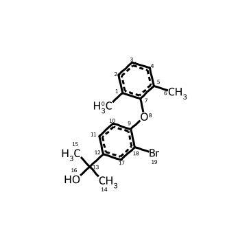 Cc1c[c]cc(C)c1Oc1ccc(C(C)(C)O)cc1Br